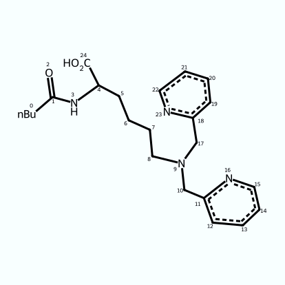 CCCCC(=O)NC(CCCCN(Cc1ccccn1)Cc1ccccn1)C(=O)O